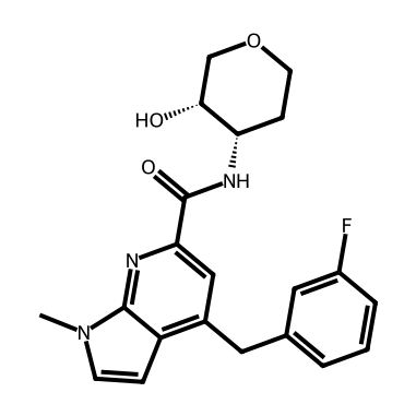 Cn1ccc2c(Cc3cccc(F)c3)cc(C(=O)N[C@H]3CCOC[C@H]3O)nc21